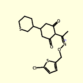 C/C(=N/OCc1ccc(Cl)s1)C1C(=O)CC(C2CCCSC2)CC1=O